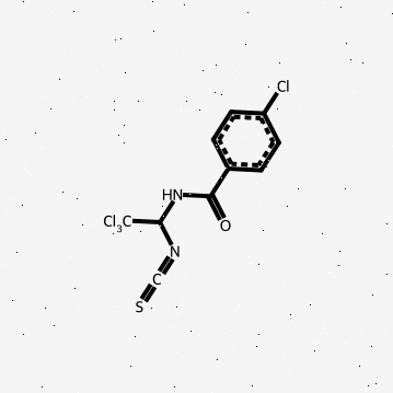 O=C(NC(N=C=S)C(Cl)(Cl)Cl)c1ccc(Cl)cc1